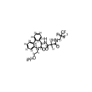 CC(C)OCCN1C(=O)[C@@H](NC(=O)C(C)(C)C(=O)NCC(F)(F)C(F)(F)F)c2ccccc2-c2ccccc21